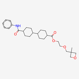 CC1(COCCOC(=O)C2CCC(C3CCC(C(=O)Nc4ccccc4)CC3)CC2)COC1